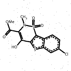 COC(=O)C1=C(O)c2sc3cc(Cl)ccc3c2S(=O)(=O)N1C